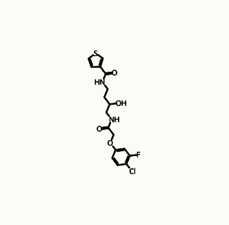 O=C(COc1ccc(Cl)c(F)c1)NCC(O)CCNC(=O)c1ccsc1